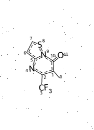 Cc1c(C(F)(F)F)nc2ccsn2c1=O